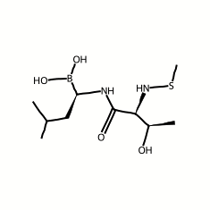 CSN[C@H](C(=O)N[C@@H](CC(C)C)B(O)O)[C@@H](C)O